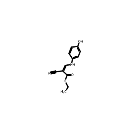 CCOC(=O)/C(C#N)=C\Nc1ccc(O)cc1